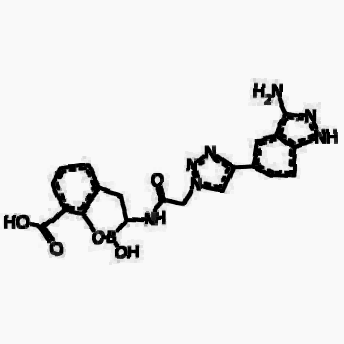 Nc1n[nH]c2ccc(-c3cn(CC(=O)NC4Cc5cccc(C(=O)O)c5OB4O)nn3)cc12